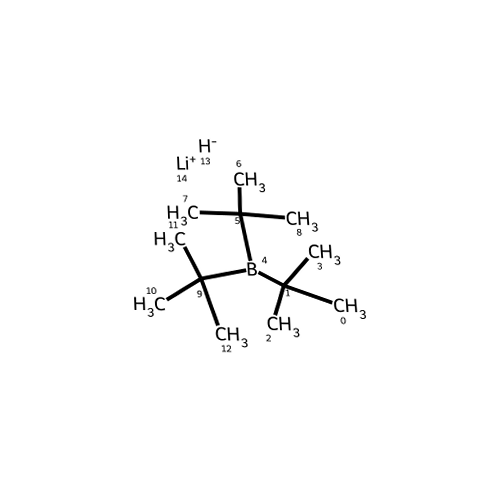 CC(C)(C)B(C(C)(C)C)C(C)(C)C.[H-].[Li+]